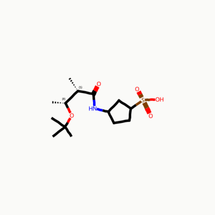 C[C@H](C(=O)NC1CCC(S(=O)(=O)O)C1)[C@@H](C)OC(C)(C)C